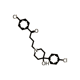 O=C(CCCN1CCC(O)(c2ccc(Cl)cc2)CC1)c1ccc(Cl)cc1